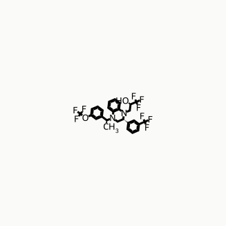 C[C@@H](c1cccc(OC(F)(F)F)c1)N1C[C@@H](c2cccc(C(F)(F)F)c2)N(C[C@@H](O)C(F)(F)F)c2ccccc21